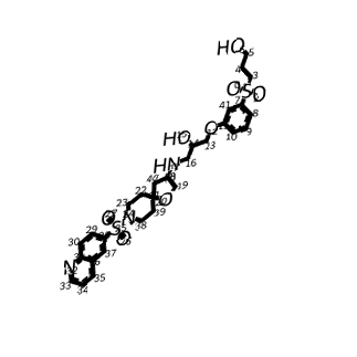 O=S(=O)(CCCO)c1cccc(OCC(O)CN[C@H]2COC3(CCN(S(=O)(=O)c4ccc5ncccc5c4)CC3)C2)c1